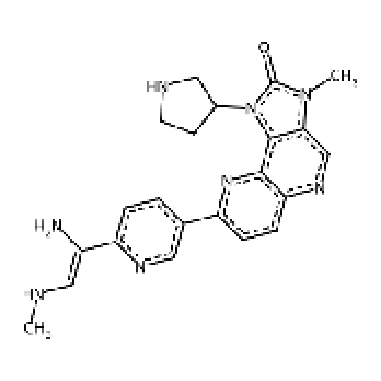 CN/C=C(\N)c1ccc(-c2ccc3ncc4c(c3n2)n(C2CCNC2)c(=O)n4C)cn1